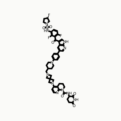 O=C1CCC(NC(=O)N2CCCc3c(N4CC5(CN(CC6CCN(c7ccc(-c8cnc9[nH]cc(C(=O)c%10c(F)ccc(NS(=O)(=O)N%11CC[C@@H](F)C%11)c%10F)c9c8)cc7)CC6)C5)C4)ccnc32)C(=O)N1